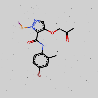 CC(=O)COc1cnn(PI)c1C(=O)Nc1ccc(Br)cc1C